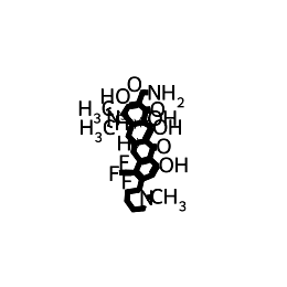 CN1CCCCC1c1cc(O)c2c(c1C(F)(F)F)C[C@H]1C[C@H]3[C@H](N(C)C)C(O)=C(C(N)=O)C(=O)[C@@]3(O)C(O)=C1C2=O